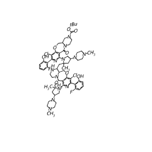 CN1CCN(C2CN(c3nc(-c4c(O)cccc4F)c(Cl)c4c3C(=O)N3CCNC(CC5(C)CC(N6CCN(C)CC6)CN5c5nc(-c6c(O)cccc6F)c(Cl)c6c5C(=O)N5CCN(C(=O)OC(C)(C)C)CC5CO6)C3CO4)C(C)(C)C2)CC1